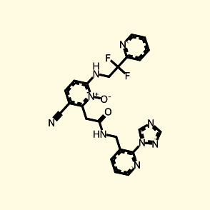 N#Cc1ccc(NCC(F)(F)c2ccccn2)[n+]([O-])c1CC(=O)NCc1cccnc1-n1cncn1